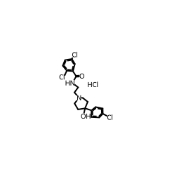 Cl.O=C(NCCN1CCC(O)(c2ccc(Cl)cc2)CC1)c1cc(Cl)ccc1Cl